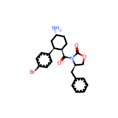 N[C@@H]1CC[C@@H](C(=O)N2C(=O)OC[C@H]2Cc2ccccc2)[C@@H](c2ccc(Br)cc2)C1